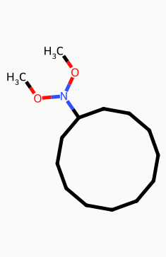 CON(OC)C1CCCCCCCCCCC1